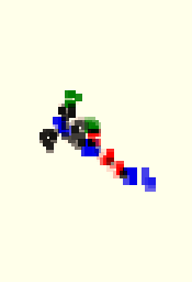 Cc1cc(C)cc(-c2nc(-c3ccc(Br)cc3)c(-c3ccc(Br)cc3)n2Cc2ccc(C(=O)NCCOCCOCCN)cc2)c1